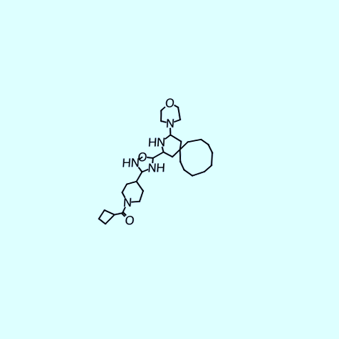 O=C(C1CCC1)N1CCC(C2NOC(C3CC4(CCCCCCCCC4)CC(N4CCOCC4)N3)N2)CC1